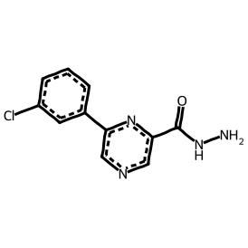 NNC(=O)c1cncc(-c2cccc(Cl)c2)n1